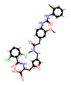 COc1cc(CC(=O)N(C)Cc2coc(CC(NC(=O)c3c(Cl)cccc3Cl)C(=O)O)c2)ccc1NC(=O)Nc1ccccc1C